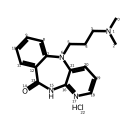 CN(C)CCCN1c2ccccc2C(=O)Nc2ncccc21.Cl